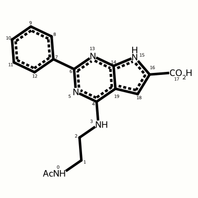 CC(=O)NCCNc1nc(-c2ccccc2)nc2[nH]c(C(=O)O)cc12